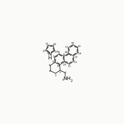 NCC1CCCc2ccc3c(ccc4ccccc43)c21.c1cc[nH]c1